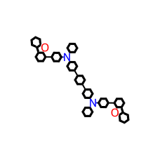 c1ccc(N(c2ccc(-c3ccc(-c4ccc(N(c5ccccc5)c5ccc(-c6cccc7c6oc6ccccc67)cc5)cc4)cc3)cc2)c2ccc(-c3cccc4c3oc3ccccc34)cc2)cc1